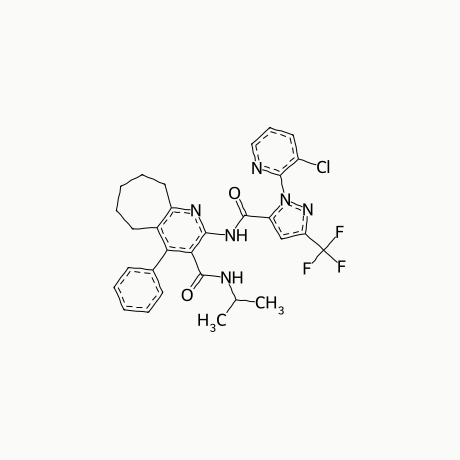 CC(C)NC(=O)c1c(NC(=O)c2cc(C(F)(F)F)nn2-c2ncccc2Cl)nc2c(c1-c1ccccc1)CCCCC2